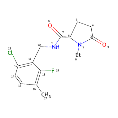 CCN1C(=O)CC[C@H]1C(=O)NCc1c(Cl)ccc(C)c1F